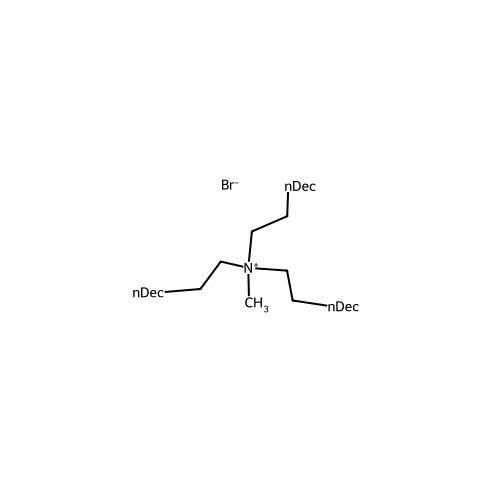 CCCCCCCCCCCC[N+](C)(CCCCCCCCCCCC)CCCCCCCCCCCC.[Br-]